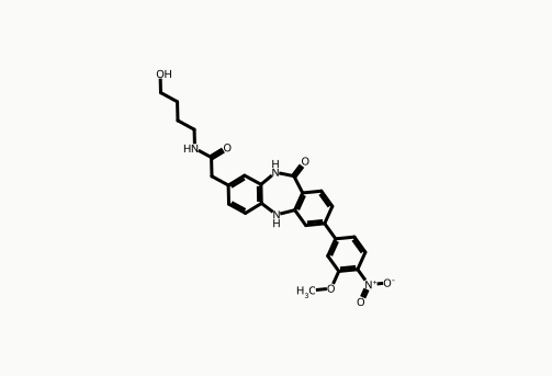 COc1cc(-c2ccc3c(c2)Nc2ccc(CC(=O)NCCCCO)cc2NC3=O)ccc1[N+](=O)[O-]